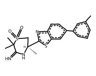 Cc1cccc(-c2ccc3nc([C@]4(C)CS(=O)(=O)C(C)(C)C(=N)N4)sc3c2)c1